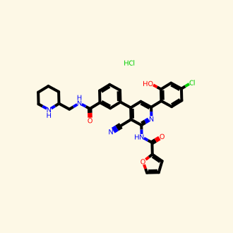 Cl.N#Cc1c(-c2cccc(C(=O)NCC3CCCCN3)c2)cc(-c2ccc(Cl)cc2O)nc1NC(=O)c1ccco1